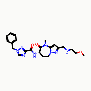 COCCNCc1cc2n(n1)CC[C@H](NC(=O)c1ncn(Cc3ccccc3)n1)C(=O)N2C